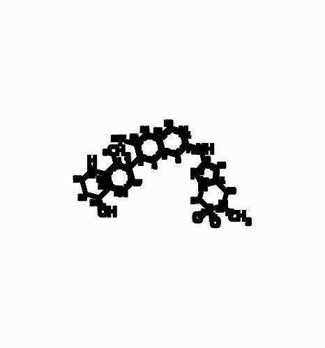 Cc1c(-c2cc3cc(Nc4cc5n(n4)CS(=O)(=O)N(C)C5)ncc3cc2F)cnc2c1NCC[C@H]2O